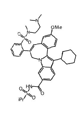 COc1ccc2c(c1)C=C(c1ccccc1S(=O)(=O)N(C)CCN(C)C)Cn1c-2c(C2CCCCC2)c2ccc(C(=O)NS(=O)(=O)C(C)C)cc21